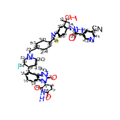 Cn1c(=O)n(C2CCC(=O)NC2=O)c2cccc([C@@H]3CCN(CC4CCC(c5nc6cc(C(C)(C)O)c(NC(=O)c7cncc(C#N)c7)cc6s5)CC4)C[C@H]3F)c21